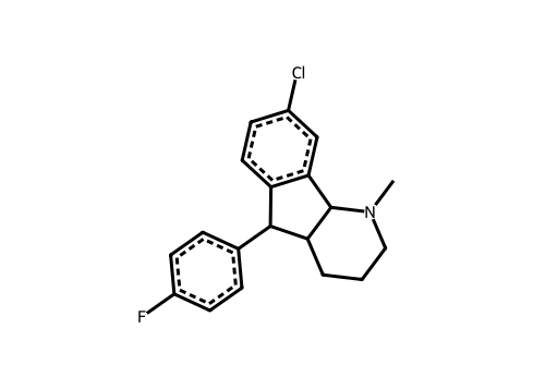 CN1CCCC2C(c3ccc(F)cc3)c3ccc(Cl)cc3C21